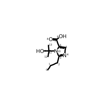 CCCc1ncc(C(=O)O)n1C(C)(C)O